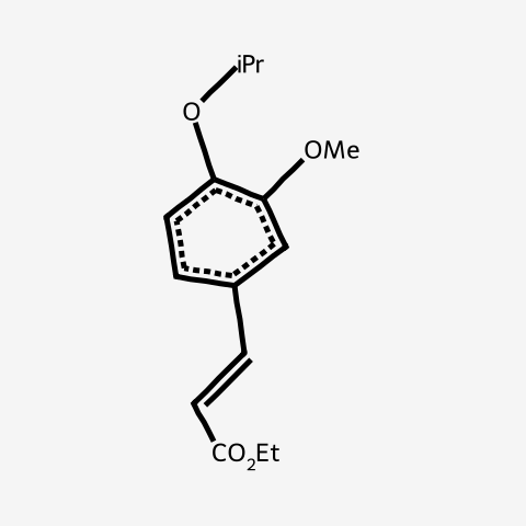 CCOC(=O)C=Cc1ccc(OC(C)C)c(OC)c1